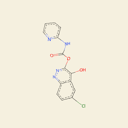 O=C(Nc1ccccn1)Oc1nnc2ccc(Cl)cc2c1O